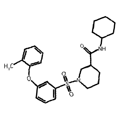 Cc1ccccc1Oc1cccc(S(=O)(=O)N2CCCC(C(=O)NC3CCCCC3)C2)c1